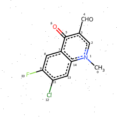 Cn1cc(C=O)c(=O)c2cc(F)c(Cl)cc21